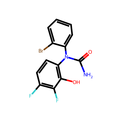 NC(=O)N(c1ccccc1Br)c1ccc(F)c(F)c1O